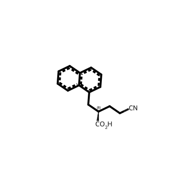 N#CCC[C@H](Cc1cccc2ccccc12)C(=O)O